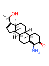 C[C@H](O)C1=CC[C@H]2[C@@H]3CCC4=C(N)C(=O)CC[C@]4(C)[C@H]3CC[C@]12C